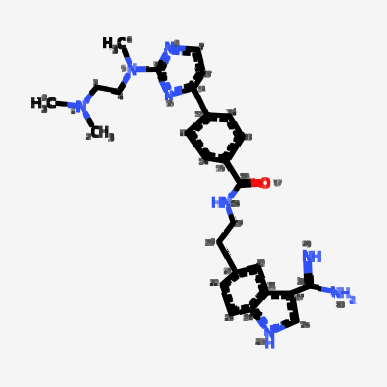 CN(C)CCN(C)c1nccc(-c2ccc(C(=O)NCCc3ccc4[nH]cc(C(=N)N)c4c3)cc2)n1